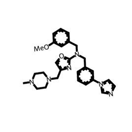 COc1cccc(CN(Cc2cccc(-n3ccnc3)c2)c2nc(CN3CCN(C)CC3)co2)c1